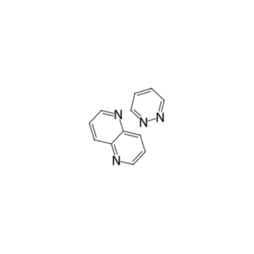 c1ccnnc1.c1cnc2cccnc2c1